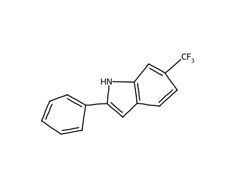 FC(F)(F)c1ccc2cc(-c3ccccc3)[nH]c2c1